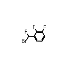 Fc1cccc(C(F)Br)c1F